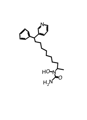 CC(CCCCCCCCC(c1ccccc1)c1cccnc1)N(O)C(N)=O